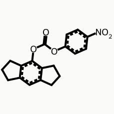 O=C(Oc1ccc([N+](=O)[O-])cc1)Oc1c2c(cc3c1CCC3)CCC2